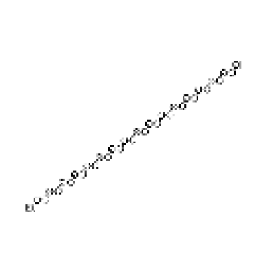 CCOOOOOOOOOOOOOOOOOOOOOOOOOOOOOOOOO